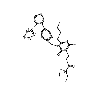 CCCCc1nc(C)c(CCC(=O)N(CC)CC)c(=O)n1Cc1ccc(-c2ccccc2-c2nnn[nH]2)cc1